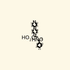 O=C(NCC(C(=O)O)N1CCN(c2ccncc2)CC1)c1ccccc1